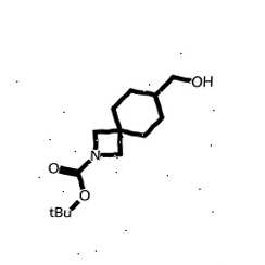 CC(C)(C)OC(=O)N1CC2(CCC(CO)CC2)C1